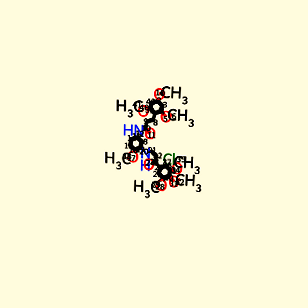 COc1cc(OC)c(/C=C/C(=O)Nc2ccc(OC)c(N/C=C\C(=O)c3cc(OC)c(OC)c(OC)c3Cl)c2)c(OC)c1